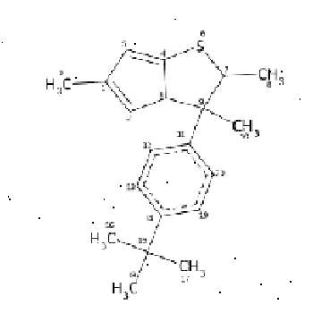 CC1=CC2C(=[C]1)SC(C)C2(C)c1ccc(C(C)(C)C)cc1